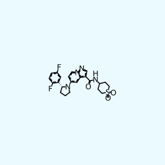 O=C(NC1CCS(=O)(=O)CC1)c1cnn2ccc(N3CCC[C@@H]3c3cc(F)ccc3F)cc12